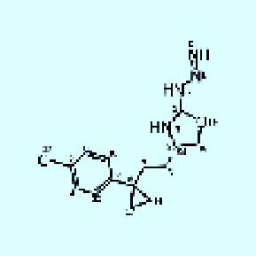 N=NNC1N[C@@H](CCC2(c3ccc(Cl)cc3)CC2)CO1